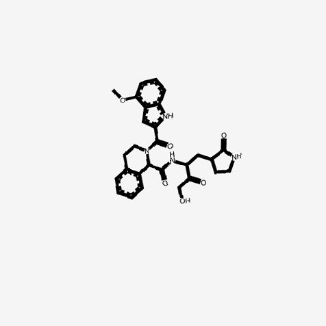 COc1cccc2[nH]c(C(=O)N3CCc4ccccc4C3C(=O)NC(CC3CCNC3=O)C(=O)CO)cc12